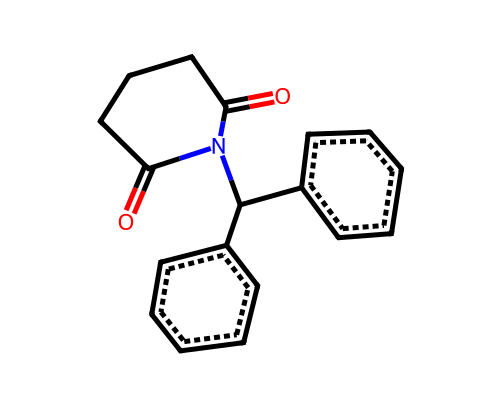 O=C1CCCC(=O)N1C(c1ccccc1)c1ccccc1